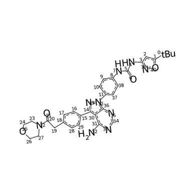 CC(C)(C)c1cc(NC(=O)Nc2ccc(-n3nc(-c4ccc(CC(=O)N5CCOCC5)cc4)c4c(N)ncnc43)cc2)no1